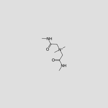 CNC(=O)C[N+](C)(C)CC(=O)NC